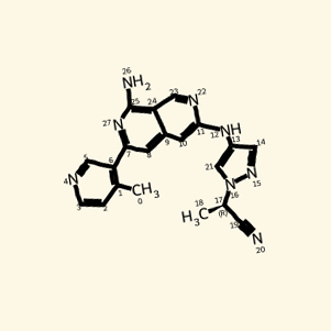 Cc1ccncc1-c1cc2cc(Nc3cnn([C@H](C)C#N)c3)ncc2c(N)n1